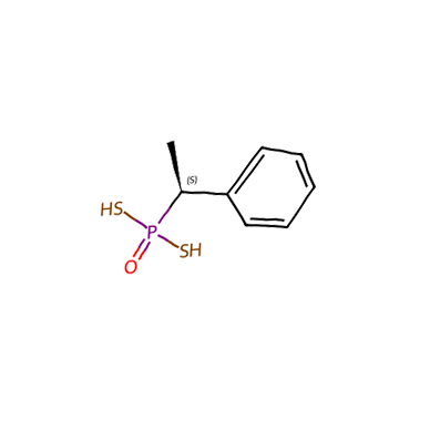 C[C@@H](c1ccccc1)P(=O)(S)S